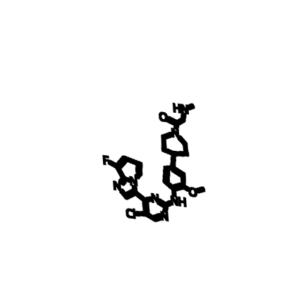 CNCC(=O)N1CCC(c2ccc(Nc3ncc(Cl)c(-c4cnc5c(F)cccn45)n3)c(OC)c2)CC1